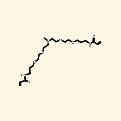 C=CC(=O)NCCCOCCOCCN(C)CCOCCOCCCNC(=O)C=C